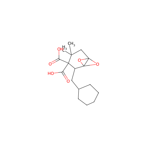 CC1(C)CC23OC2(O3)C(CC2CCCCC2)C1(C(=O)O)C(=O)O